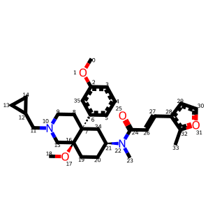 COc1cccc([C@@]23CCN(CC4CC4)C[C@@]2(OC)CC[C@H](N(C)C(=O)/C=C/c2ccoc2C)C3)c1